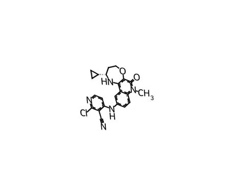 Cn1c(=O)c2c(c3cc(Nc4ccnc(Cl)c4C#N)ccc31)N[C@H](C1CC1)CCO2